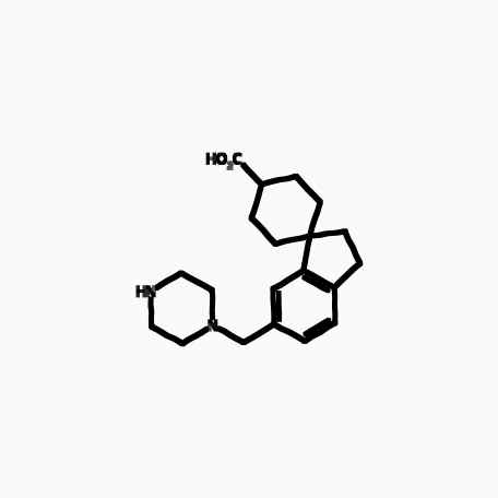 O=C(O)C1CCC2(CCc3ccc(CN4CCNCC4)cc32)CC1